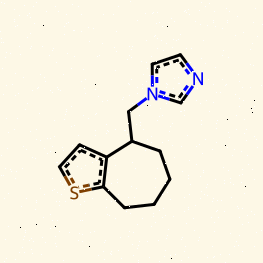 c1cn(CC2CCCCc3sccc32)cn1